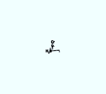 BC.[Cr].[V]